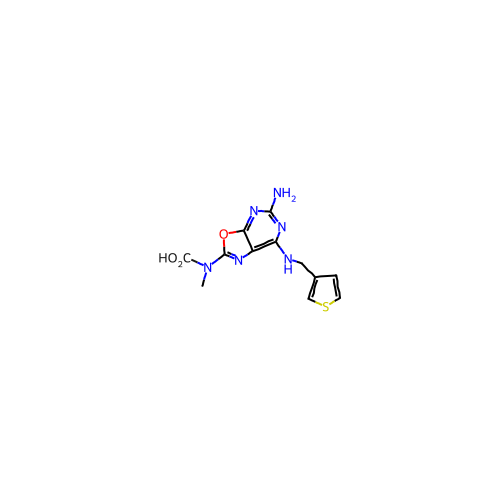 CN(C(=O)O)c1nc2c(NCc3ccsc3)nc(N)nc2o1